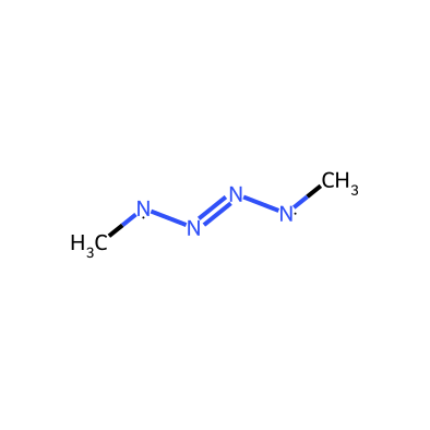 C[N]N=N[N]C